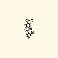 O=Cc1ccc(NC(=S)c2ccncc2Cl)cc1